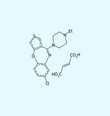 CCN1CCN(C2=Nc3cc(Cl)ccc3Oc3cscc32)CC1.O=C(O)C=CC(=O)O